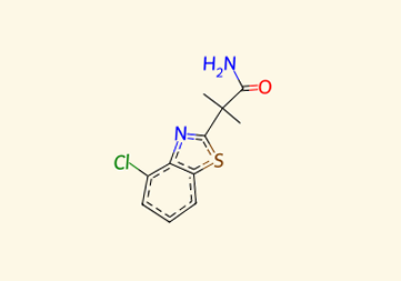 CC(C)(C(N)=O)c1nc2c(Cl)cccc2s1